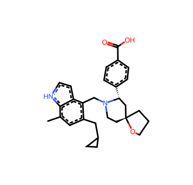 Cc1cc(CC2CC2)c(CN2CC[C@]3(CCCO3)C[C@H]2c2ccc(C(=O)O)cc2)c2cc[nH]c12